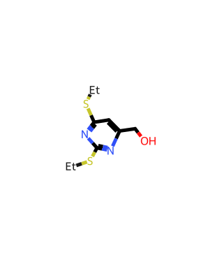 CCSc1cc(CO)nc(SCC)n1